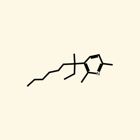 CCCCCCC(C)(CC)c1ccc(C)nc1C